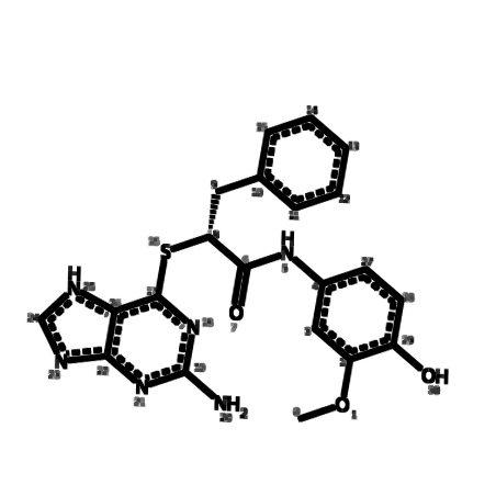 COc1cc(NC(=O)[C@@H](Cc2ccccc2)Sc2nc(N)nc3nc[nH]c23)ccc1O